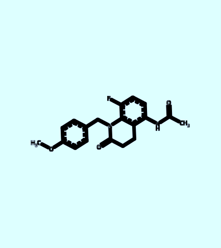 COc1ccc(CN2C(=O)CCc3c(NC(C)=O)ccc(F)c32)cc1